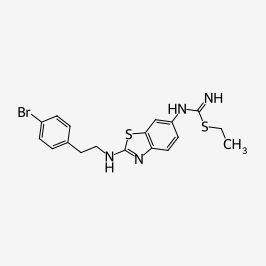 CCSC(=N)Nc1ccc2nc(NCCc3ccc(Br)cc3)sc2c1